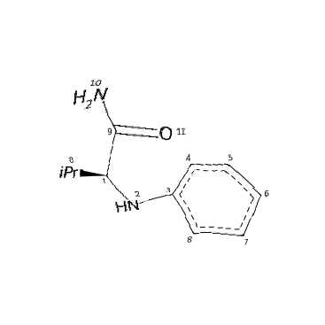 CC(C)[C@H](Nc1ccccc1)C(N)=O